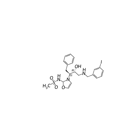 CS(=O)(=O)NC1OC=CN1[C@@H](Cc1ccccc1)[C@H](O)CNCc1cccc(I)c1